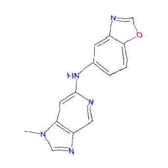 Cn1cnc2cnc(Nc3ccc4ocnc4c3)cc21